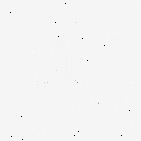 CCOCC(COCC)OC(=O)OC(C(C)C)n1nc(C(=O)OCC)c(C(=O)c2cc(OC(C)C)c(OC)cc2N)n1